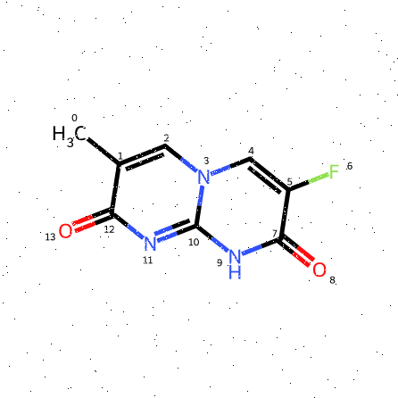 Cc1cn2cc(F)c(=O)[nH]c2nc1=O